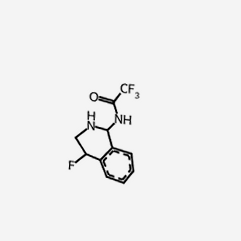 O=C(NC1NCC(F)c2ccccc21)C(F)(F)F